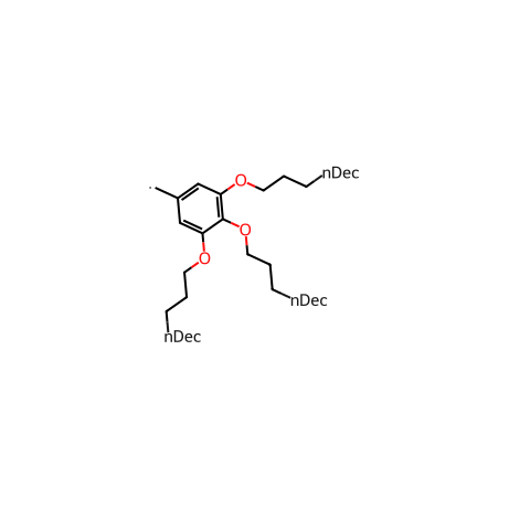 [CH2]c1cc(OCCCCCCCCCCCCC)c(OCCCCCCCCCCCCC)c(OCCCCCCCCCCCCC)c1